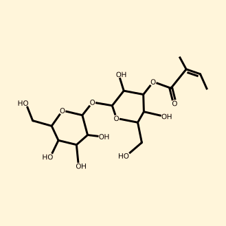 C/C=C(/C)C(=O)OC1C(O)C(CO)OC(OC2OC(CO)C(O)C(O)C2O)C1O